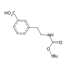 CC(C)(C)OC(=O)NCCc1cccc(C(=O)O)c1